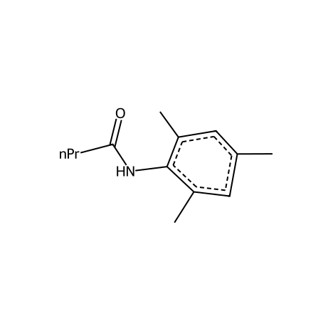 CCCC(=O)Nc1c(C)cc(C)cc1C